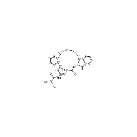 O=C1/N=C2\Nc3ccccc3N2CCCCCOc2ccccc2-c2cc1cc(NC(=O)C(F)Cl)n2